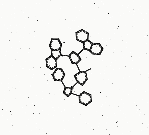 Cc1ccc(-n2c(-c3ccccc3)ccc2-c2ccccc2)cc1-c1cc(-n2c3ccccc3c3ccccc32)cc(-n2c3ccccc3c3ccccc32)c1